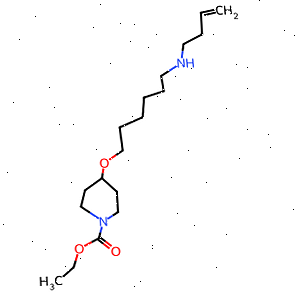 C=CCCNCCCCCCOC1CCN(C(=O)OCC)CC1